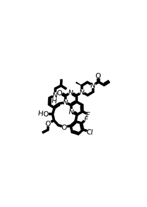 C=CC(=O)N1CCN(c2nc(=O)n3c4nc(c(F)cc24)-c2c(ccc(Cl)c2F)OCC(OCC)C(O)C(/C=C\NCC(C)C)=C\3)[C@@H](C)C1